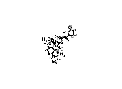 CN(C(=O)c1nn(C(C)(C)C)c2nc(NC(=O)c3cccc(Cl)c3)sc12)[C@@H]1CCCC[C@H]1N1CCOCC1